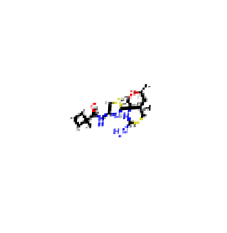 C[C@H]1C[C@H]2CSC(N)=NC2(c2nc(NC(=O)C3(C)CCC3)cs2)CO1